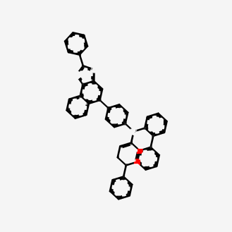 C1=CC(c2ccccc2)CC=C1N(c1ccc(-c2cc3nc(-c4ccccc4)oc3c3ccccc23)cc1)c1ccccc1-c1ccccc1